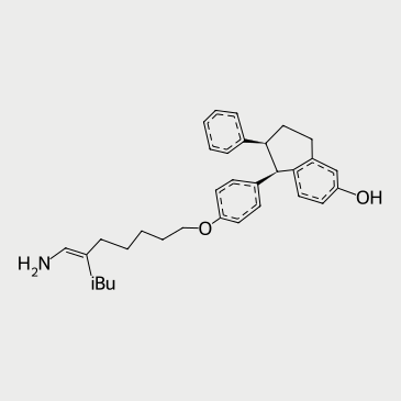 CCC(C)/C(=C\N)CCCCCOc1ccc([C@@H]2c3ccc(O)cc3CC[C@@H]2c2ccccc2)cc1